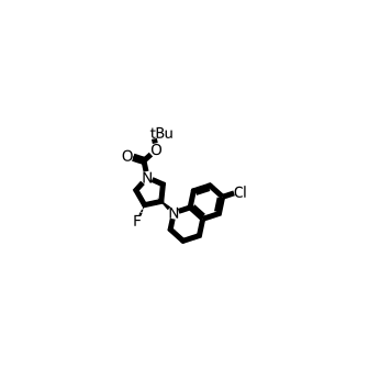 CC(C)(C)OC(=O)N1C[C@@H](F)[C@H](N2CCCc3cc(Cl)ccc32)C1